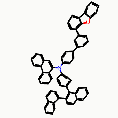 c1cc(-c2ccc(N(c3ccc(-c4c(-c5cccc6ccccc56)ccc5ccccc45)cc3)c3cc4ccccc4c4ccccc34)cc2)cc(-c2cccc3c2oc2ccccc23)c1